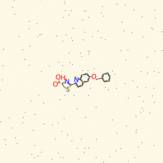 O=C(O)[C@H]1CSC(c2ccc3cc(OCc4ccccc4)ccc3n2)=N1